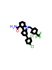 NC(=O)c1cccc2c1c1[c]cc(-c3ccc(Cl)cc3Cl)cc1n2Cc1ccc(C(F)(F)F)cc1